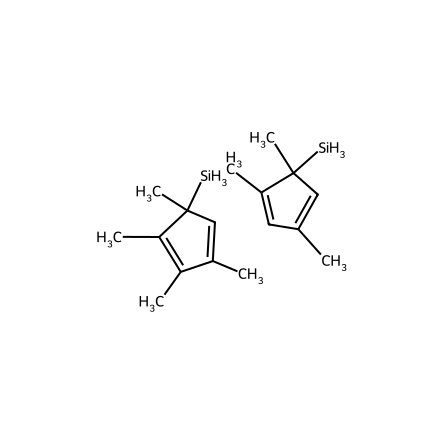 CC1=CC(C)([SiH3])C(C)=C1.CC1=CC(C)([SiH3])C(C)=C1C